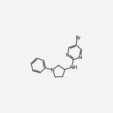 Brc1cnc(NC2CCN(c3ccccc3)C2)nc1